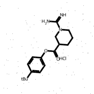 CC(C)(C)c1ccc(OC(=O)C2CCCN(C(=N)N)C2)cc1.Cl